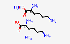 N.N.NCCCC[C@H](N)C(=O)O.NCCCC[C@H](N)C(=O)O